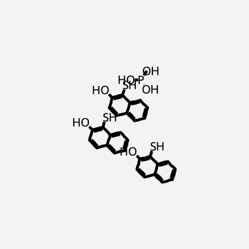 OP(O)O.Oc1ccc2ccccc2c1S.Oc1ccc2ccccc2c1S.Oc1ccc2ccccc2c1S